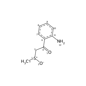 C[S+]([O-])CC(=O)c1ccccc1N